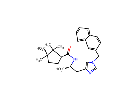 CC1(C)[C@@H](C(=O)N[C@@H](Cc2cn(Cc3ccc4ccccc4c3)cn2)C(=O)O)CC[C@@]1(C)C(=O)O